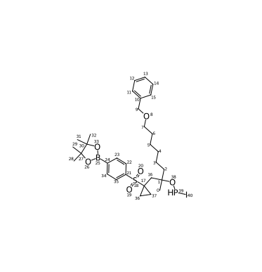 CC(CCCCCCOCc1ccccc1)(CC1(S(=O)(=O)c2ccc(B3OC(C)(C)C(C)(C)O3)cc2)CC1)OPI